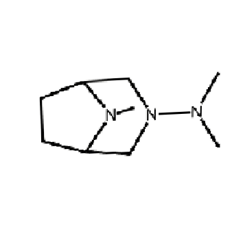 CN1C2CCC1CN(N(C)C)C2